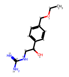 CCOCc1ccc(C(O)CNC(=N)N)cc1